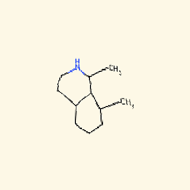 CC1CCCC2CCNC(C)C12